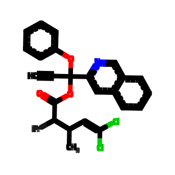 C#CC(OC(=O)C(C(C)C)C(C)C=C(Cl)Cl)(Oc1ccccc1)c1cc2ccccc2cn1